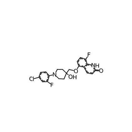 O=c1ccc2c(OCC3(O)CCN(c4ccc(Cl)cc4F)CC3)ccc(F)c2[nH]1